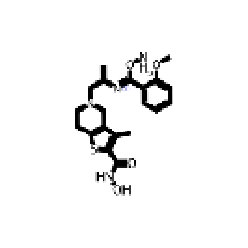 C=C(CN1CCc2sc(C(=O)NO)c(C)c2C1)/N=C(\ON)c1ccccc1OC